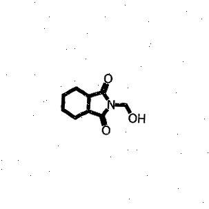 O=C1C2CCCCC2C(=O)N1CO